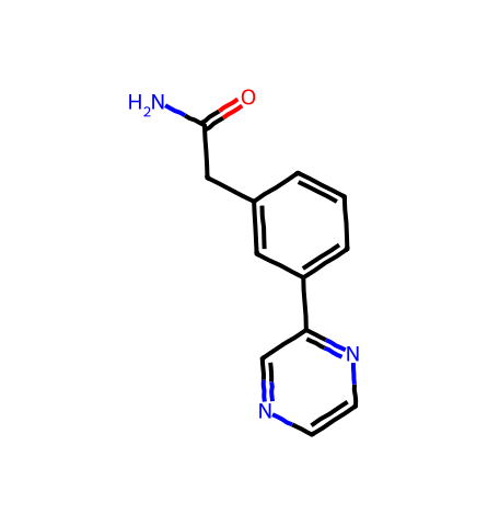 NC(=O)Cc1cccc(-c2cnccn2)c1